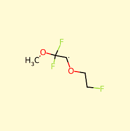 COC(F)(F)[CH]OCCF